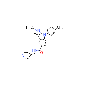 Cn1cc2c3cc(C(=O)NCc4ccncc4)ccc3n(-c3ccc(C(F)(F)F)cc3)c2n1